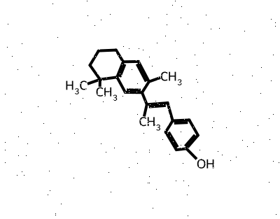 CC(=Cc1ccc(O)cc1)c1cc2c(cc1C)CCCC2(C)C